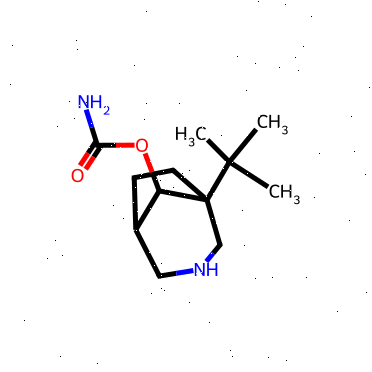 CC(C)(C)C12CCC(CNC1)C2OC(N)=O